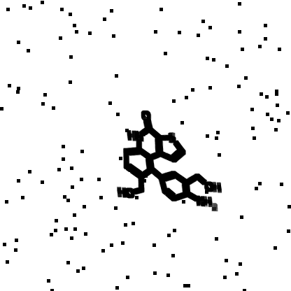 Nc1ccc(-c2c(CO)ccc3[nH]c(=O)c4sccc4c23)cc1CO